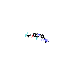 C=C(NCc1ccc(CN2Cc3ccc(OCC4CC4(F)F)cc3C(F)C2)cc1)N(C)C